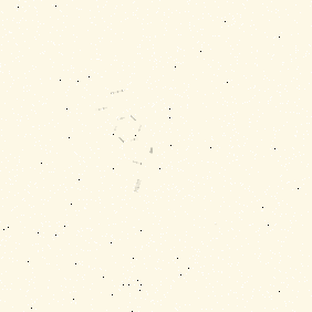 C#CP(=O)(Nc1ccc(C(=O)C(=C)C)cc1)OCCOCCO